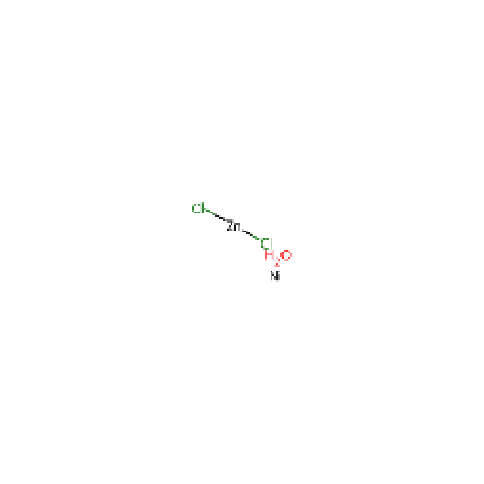 O.[Cl][Zn][Cl].[Ni]